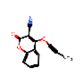 CC#COc1c(C#N)c(=O)oc2ccccc12